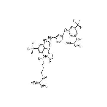 N=C(N)NCCCCC(=O)Nc1cc(C(F)(F)F)cc(NC(=O)Nc2cccc(Oc3cc(NC(=N)N)cc(C(F)(F)F)c3)c2)c1OC1CCNC1